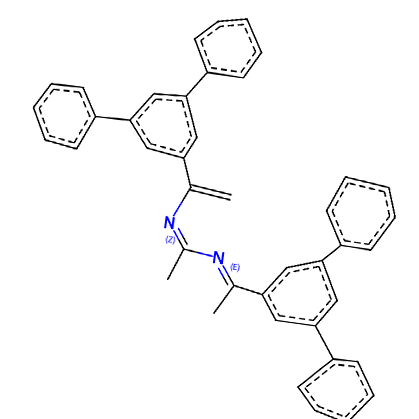 C=C(/N=C(C)\N=C(/C)c1cc(-c2ccccc2)cc(-c2ccccc2)c1)c1cc(-c2ccccc2)cc(-c2ccccc2)c1